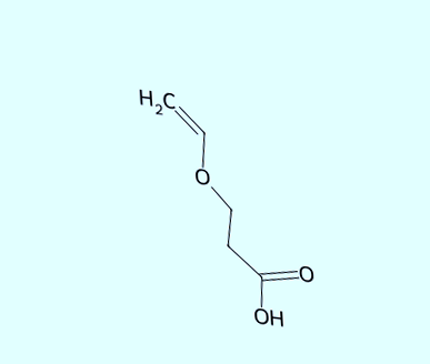 C=COCCC(=O)O